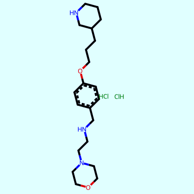 Cl.Cl.c1cc(OCCCC2CCCNC2)ccc1CNCCN1CCOCC1